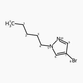 CCCCCn1cc(Br)cn1